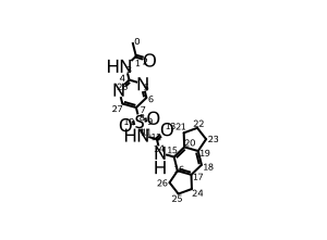 CC(=O)Nc1ncc(S(=O)(=O)NC(=O)Nc2c3c(cc4c2CCC4)CCC3)cn1